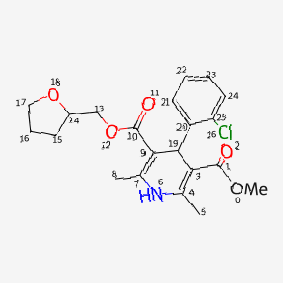 COC(=O)C1=C(C)NC(C)=C(C(=O)OCC2CCCO2)C1c1ccccc1Cl